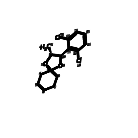 [CH2][C@H]1OC2(CCCCC2)O[C@@H]1c1c(Cl)cccc1Cl